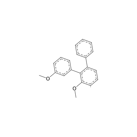 COc1cccc(-c2c(OC)[c]ccc2-c2ccccc2)c1